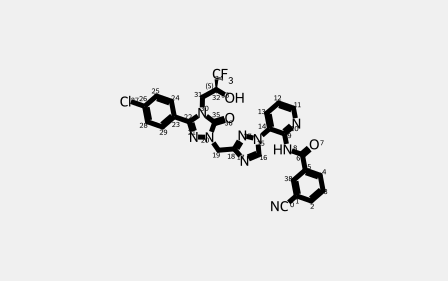 N#Cc1cccc(C(=O)Nc2ncccc2-n2cnc(Cn3nc(-c4ccc(Cl)cc4)n(C[C@H](O)C(F)(F)F)c3=O)n2)c1